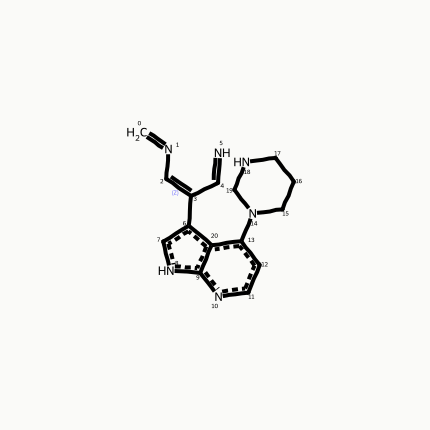 C=N/C=C(\C=N)c1c[nH]c2nccc(N3CCCNC3)c12